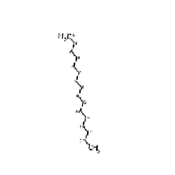 [CH2]CCCCCCCC[CH]CCCCCC